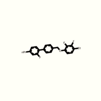 CCCc1ccc(-c2ccc(COc3ccc(CC)c(F)c3F)cc2)c(F)c1